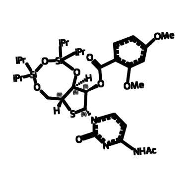 COc1ccc(C(=O)O[C@@H]2[C@@H]3O[Si](C(C)C)(C(C)C)O[Si](C(C)C)(C(C)C)OC[C@H]3S[C@H]2n2ccc(NC(C)=O)nc2=O)c(OC)c1